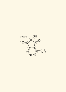 CCOC(=O)C1(O)C(=O)c2cccc(C)c2C1=O